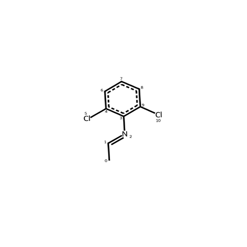 CC=Nc1c(Cl)cccc1Cl